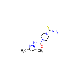 Cc1cc(C)n(NC(=O)N2CCN(C(N)=S)CC2)n1